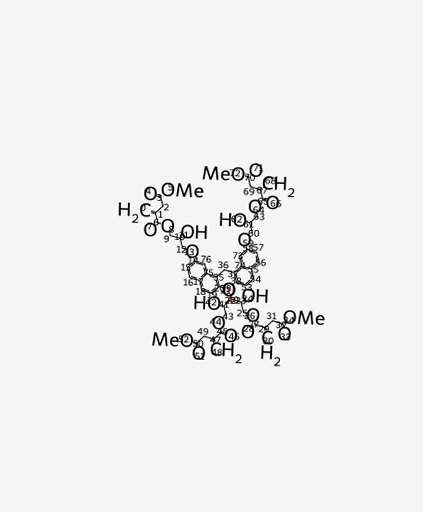 C=C(CC(=O)OC)C(=O)OCC(O)COc1ccc2ccc(OCC(O)COC(=O)C(=C)CC(=O)OC)c(Cc3c(OCC(O)COC(=O)C(=C)CC(=O)OC)ccc4ccc(OCC(O)COC(=O)C(=C)CC(=O)OC)cc34)c2c1